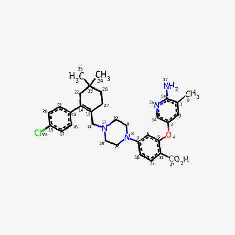 Cc1cc(Oc2cc(N3CCN(CC4=C(c5ccc(Cl)cc5)CC(C)(C)CC4)CC3)ccc2C(=O)O)cnc1N